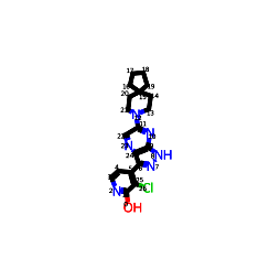 Oc1nccc(-c2n[nH]c3nc(N4CCC5(CCCC5)CC4)cnc23)c1Cl